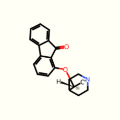 O=C1c2ccccc2-c2cccc(O[C@@H]3CN4CCC3CC4)c21